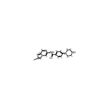 Cc1cn2cc(NC(=O)c3ccc(N4CCNCC4)cc3)ncc2n1